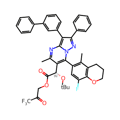 Cc1nc2c(-c3cccc(-c4ccccc4)c3)c(-c3ccccc3)nn2c(-c2cc(F)c3c(c2C)CCCO3)c1[C@H](OC(C)(C)C)C(=O)OCC(=O)C(F)(F)F